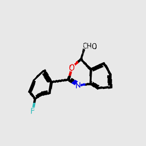 O=CC1OC(c2cccc(F)c2)=Nc2ccccc21